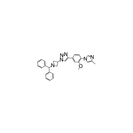 COc1cc(-c2cn(C3CN(C(c4ccccc4)c4ccccc4)C3)nn2)ccc1-n1cnc(C)c1